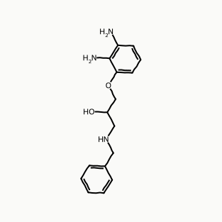 Nc1cccc(OCC(O)CNCc2ccccc2)c1N